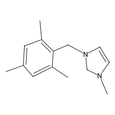 Cc1cc(C)c(CN2C=CN(C)C2)c(C)c1